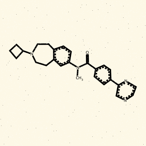 CN(C(=O)c1ccc(-c2cnccn2)cc1)c1ccc2c(c1)CCN(C1CCC1)CC2